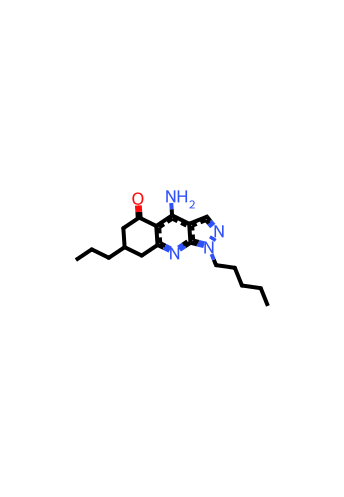 CCCCCn1ncc2c(N)c3c(nc21)CC(CCC)CC3=O